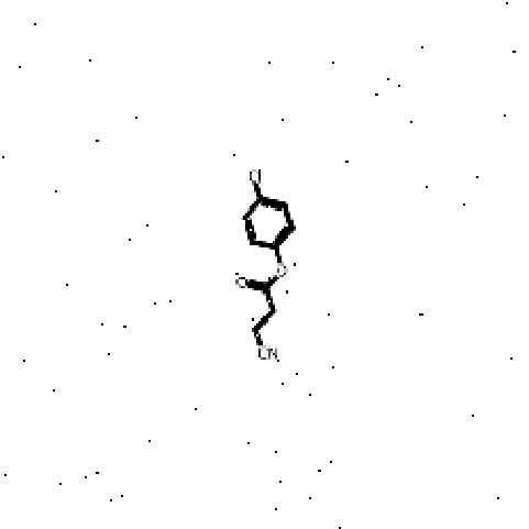 N#CCCC(=O)Oc1ccc(Cl)cc1